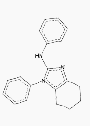 c1ccc(Nc2nc3c(n2-c2ccccc2)CCCC3)cc1